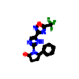 O=C1CCC(c2ccccc2)N1c1ncc(-c2noc(C(F)(F)F)n2)[nH]1